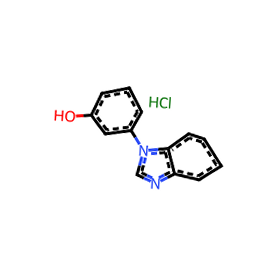 Cl.Oc1cccc(-n2cnc3ccccc32)c1